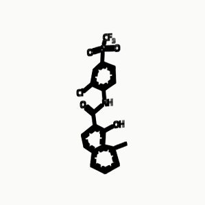 Cc1cccc2ccc(C(=O)Nc3ccc(S(=O)(=O)C(F)(F)F)cc3Cl)c(O)c12